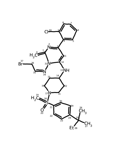 C=C1N=C(c2ccccc2Cl)C=C(NC2CCN(S(=C)(=O)c3ccc(C(C)(C)CC)cc3)CC2)N1/N=C\CBr